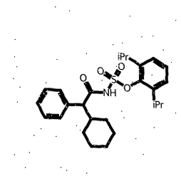 CC(C)c1cccc(C(C)C)c1OS(=O)(=O)NC(=O)C(c1ccccc1)C1CCCCC1